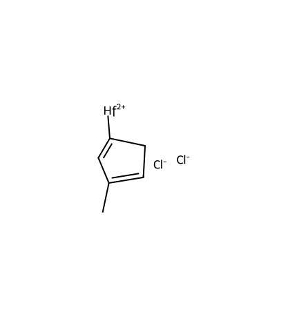 CC1=CC[C]([Hf+2])=C1.[Cl-].[Cl-]